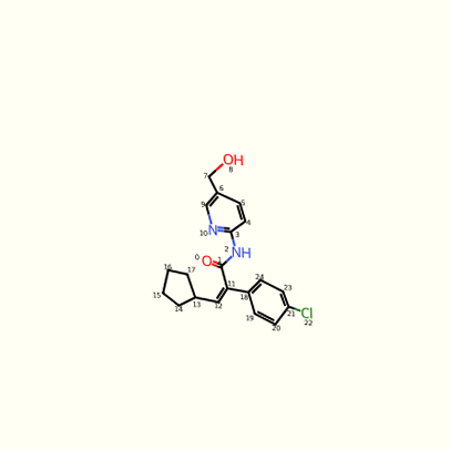 O=C(Nc1ccc(CO)cn1)/C(=C\C1CCCC1)c1ccc(Cl)cc1